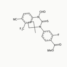 COC(=O)c1ccc(N(C(=S)N(C=O)c2ccc(C#N)c(C(F)(F)F)c2)C2(C)CCC2)cc1F